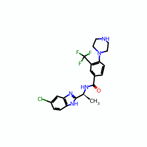 C[C@H](NC(=O)c1ccc(N2CCNCC2)c(C(F)(F)F)c1)c1nc2cc(Cl)ccc2[nH]1